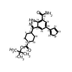 CC(C)(C)OC(=O)N1CCC(c2n[nH]c3c(C(N)=O)cc(-c4ccsc4)cc23)CC1